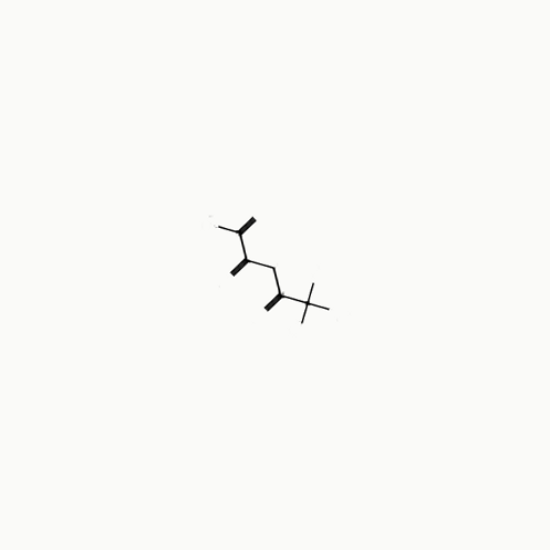 CC(C)(C)C(=O)CC(=O)C(N)=O